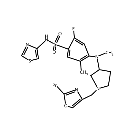 Cc1cc(S(=O)(=O)Nc2cscn2)c(F)cc1N(C)C1CCN(Cc2coc(C(C)C)n2)C1